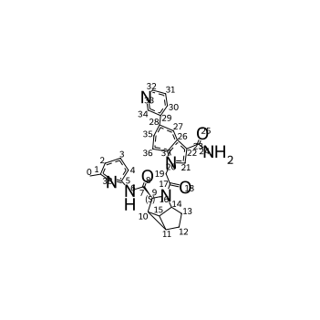 Cc1cccc(NC(=O)[C@@H]2C3C4CCC(C43)N2C(=O)Cn2cc(C(N)=O)c3cc(-c4cccnc4)ccc32)n1